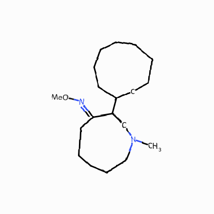 CON=C1CCCCCN(C)CC1C1CCCCCCCC1